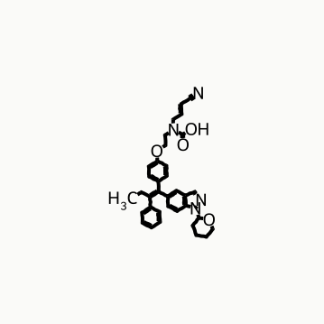 CCC(=C(c1ccc(OCCN(CC=CC#N)C(=O)O)cc1)c1ccc2c(cnn2C2CCCCO2)c1)c1ccccc1